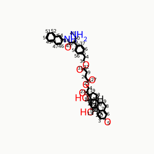 C[C@]12C=CC(=O)C=C1CC[C@@H]1[C@@H]2[C@@H](O)C[C@@]2(C)[C@H]1CC[C@]2(O)C(=O)COC(=O)CCC(=O)OCCc1ccc(C(CN)C(=O)Nc2ccc3ccccc3c2)cc1